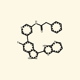 O=C(Cc1ccccc1)Nc1cncc(-c2cc3c(-c4nc5cccnc5[nH]4)n[nH]c3cc2F)c1